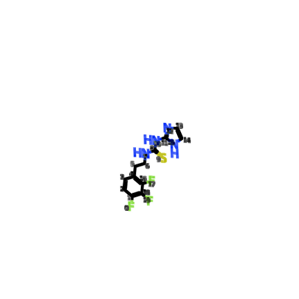 Fc1ccc(CCNC(=S)Nc2ncc[nH]2)c(F)c1F